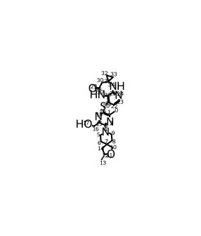 Cc1nc(N2CCC3(CC2)CO[C@@H](C)C3)c(CO)nc1Sc1ccnc2c1NC(=O)CC1(CC1)N2